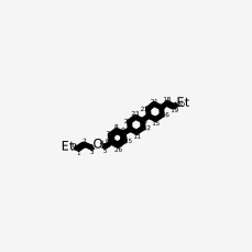 CCC=CCOCc1ccc(C2CCC(C3CCC(C=CCC)CC3)CC2)cc1